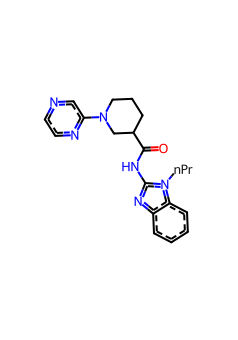 CCCn1c(NC(=O)C2CCCN(c3cnccn3)C2)nc2ccccc21